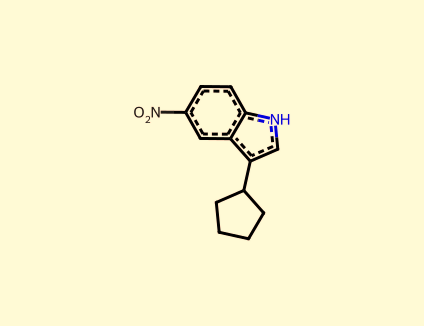 O=[N+]([O-])c1ccc2[nH]cc(C3CCCC3)c2c1